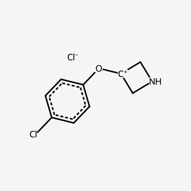 Clc1ccc(O[C+]2CNC2)cc1.[Cl-]